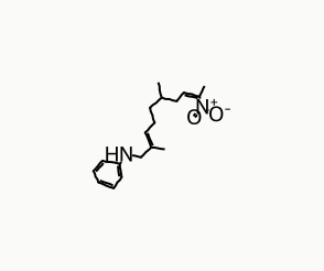 CC(=CCCC(C)CC=C(C)[N+](=O)[O-])CNc1ccccc1